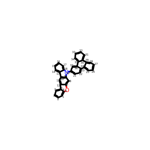 c1ccc2c(c1)oc1cc3c(cc12)c1ccccc1n3-c1ccc2c3ccccc3c3ccccc3c2c1